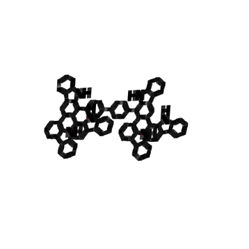 c1ccc2c(c1)[nH]c1c(-c3cc4c([nH]c5ccccc54)c(-c4ccc(-c5ccc(-c6c(-c7cccc8c7[nH]c7ccccc78)c(-c7cccc8c7[nH]c7ccccc78)cc7c6[nH]c6ccccc67)cc5)cc4)c3-c3cccc4c3[nH]c3ccccc34)cccc12